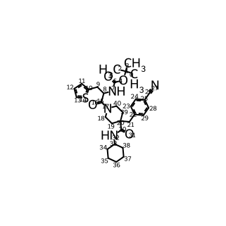 CC(C)(C)OC(=O)NC(Cc1cccs1)C(=O)N1CCC(Cc2ccc(C#N)cc2)(C(=O)NC2CCCCC2)CC1